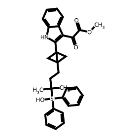 COC(=O)C(=O)c1c(C23CC2(CCC(C)(C)[Si](O)(c2ccccc2)c2ccccc2)C3)[nH]c2ccccc12